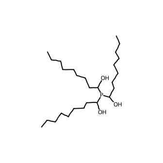 CCCCCCCCC(O)P(C(O)CCCCCCCC)C(O)CCCCCCCC